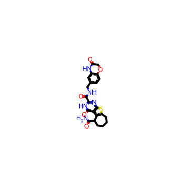 NC(=O)C1CCCCc2sc3nc(C(=O)NCc4ccc5c(c4)NC(=O)CO5)[nH]c(=O)c3c21